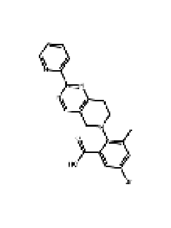 Cc1cc(Br)cc(C(=O)O)c1N1CCc2nc(-c3ccccn3)ncc2C1